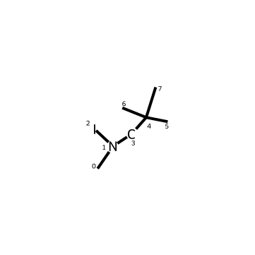 CN(I)CC(C)(C)C